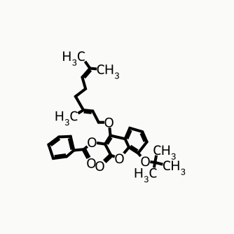 CC(C)=CCC/C(C)=C/COc1c(OC(=O)c2ccccc2)c(=O)oc2c(OC(C)(C)C)cccc12